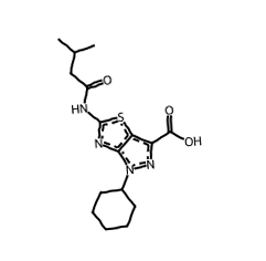 CC(C)CC(=O)Nc1nc2c(s1)c(C(=O)O)nn2C1CCCCC1